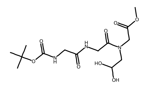 COC(=O)CN(CC(O)O)C(=O)CNC(=O)CNC(=O)OC(C)(C)C